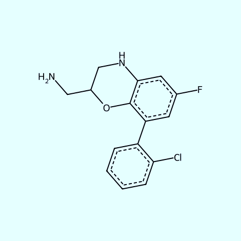 NCC1CNc2cc(F)cc(-c3ccccc3Cl)c2O1